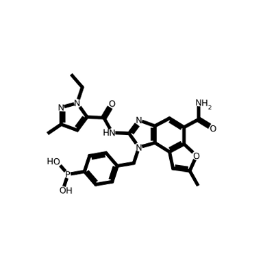 CCn1nc(C)cc1C(=O)Nc1nc2cc(C(N)=O)c3oc(C)cc3c2n1Cc1ccc(P(O)O)cc1